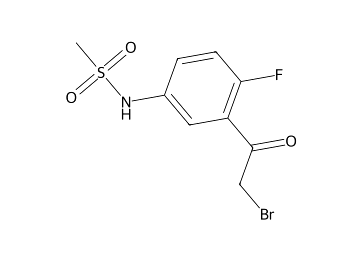 CS(=O)(=O)Nc1ccc(F)c(C(=O)CBr)c1